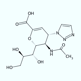 CC(=O)N[C@H]1[C@H]([C@H](O)[C@H](O)CO)OC(C(=O)O)=C[C@@H]1n1ccnn1